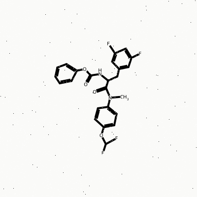 CN(C(=O)C(Cc1cc(F)cc(F)c1)NC(=O)Oc1ccccc1)c1ccc(OC(F)F)cc1